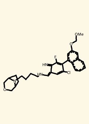 COCOc1cc(C2=C(F)C(=N)/C(=C\NCCCCN3C4CCC3COC4)C=C2Cl)c2ccccc2c1